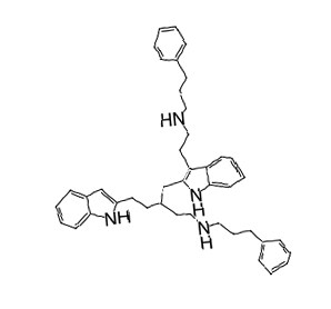 c1ccc(CCCNCCc2c(CC(CCNCCCc3ccccc3)CCc3cc4ccccc4[nH]3)[nH]c3ccccc23)cc1